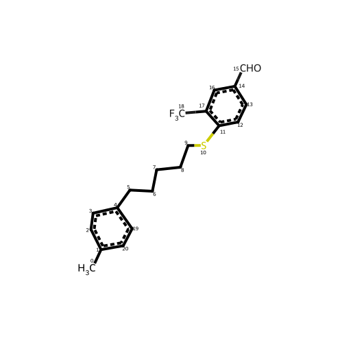 Cc1ccc(CCCCCSc2ccc(C=O)cc2C(F)(F)F)cc1